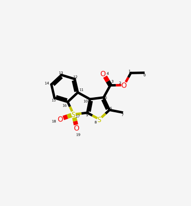 CCOC(=O)c1c(C)sc2c1-c1ccccc1S2(=O)=O